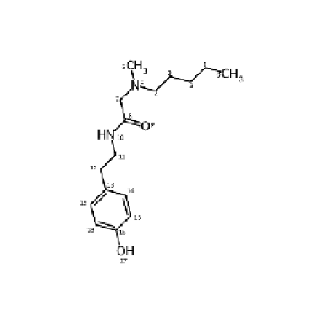 CCCCCN(C)CC(=O)NCCc1ccc(O)cc1